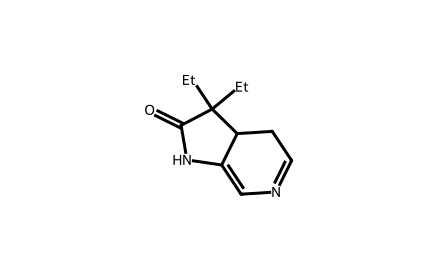 CCC1(CC)C(=O)NC2=CN=CCC21